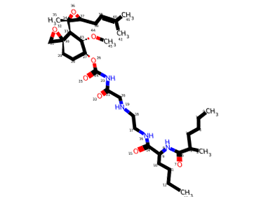 CCCCC(C)C(=O)NC(CCCC)C(=O)NCCNCC(=O)NC(=O)O[C@@H]1CC[C@]2(CO2)[C@@H]([C@]2(C)OC2CC=C(C)C)[C@@H]1OC